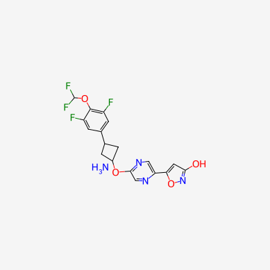 N.Oc1cc(-c2cnc(OC3CC(c4cc(F)c(OC(F)F)c(F)c4)C3)cn2)on1